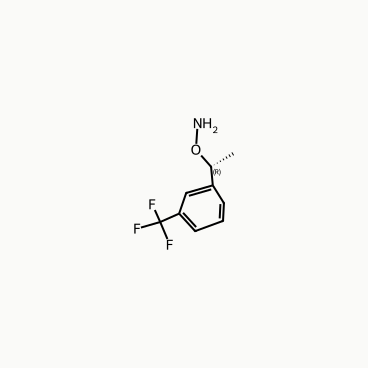 C[C@@H](ON)c1cccc(C(F)(F)F)c1